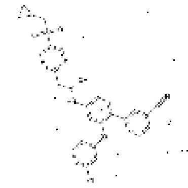 N#Cc1cccc(-c2ccc(NC(O)Cc3ccc(S(=O)(=O)CC4CC4)cc3)cc2Oc2cccc(Cl)c2)c1